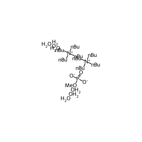 CCCC[N+](CCCC)(CCCC)CCCC.CCCC[N+](CCCC)(CCCC)CCCC.COP(=O)([O-])[O-].O.O.O.O.O.O